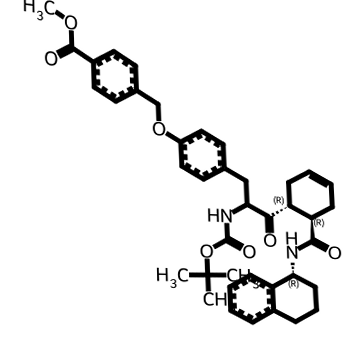 COC(=O)c1ccc(COc2ccc(CC(NC(=O)OC(C)(C)C)C(=O)[C@@H]3CC=CC[C@H]3C(=O)N[C@@H]3CCCc4ccccc43)cc2)cc1